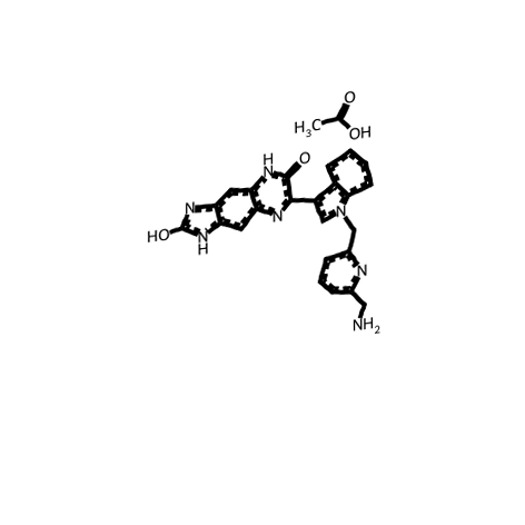 CC(=O)O.NCc1cccc(Cn2cc(-c3nc4cc5[nH]c(O)nc5cc4[nH]c3=O)c3ccccc32)n1